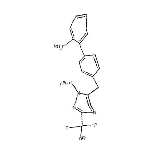 CCCCCn1nc(C(F)(F)CCC)nc1Cc1ccc(-c2ccccc2C(=O)O)cc1